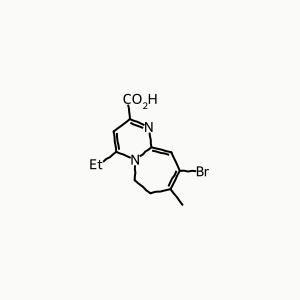 CCC1=CC(C(=O)O)=NC2=CC(Br)=C(C)CCN12